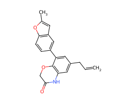 C=CCc1cc2c(c(-c3ccc4oc(C)cc4c3)c1)OCC(=O)N2